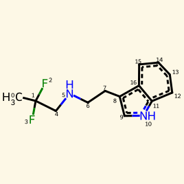 CC(F)(F)CNCCc1c[nH]c2ccccc12